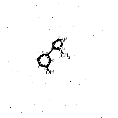 Cn1nccc1-c1cccc(O)c1